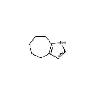 [c]1n[nH]c2c1CCCCC2